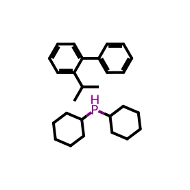 C1CCC(PC2CCCCC2)CC1.CC(C)c1ccccc1-c1ccccc1